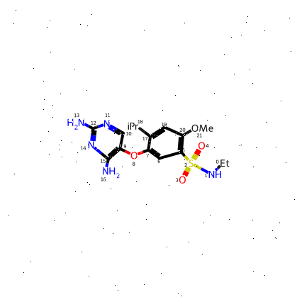 CCNS(=O)(=O)c1cc(Oc2cnc(N)nc2N)c(C(C)C)cc1OC